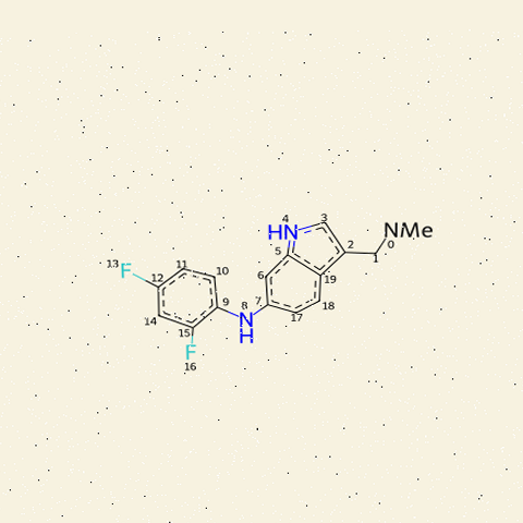 CNCc1c[nH]c2cc(Nc3ccc(F)cc3F)ccc12